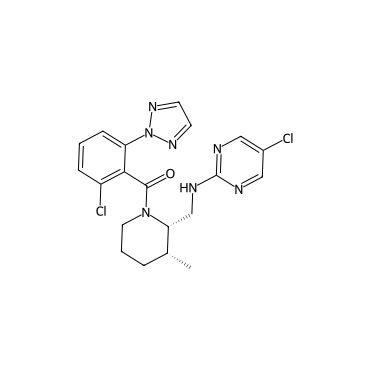 C[C@@H]1CCCN(C(=O)c2c(Cl)cccc2-n2nccn2)[C@@H]1CNc1ncc(Cl)cn1